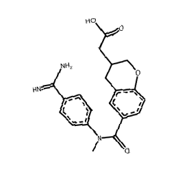 CN(C(=O)c1ccc2c(c1)CC(CC(=O)O)CO2)c1ccc(C(=N)N)cc1